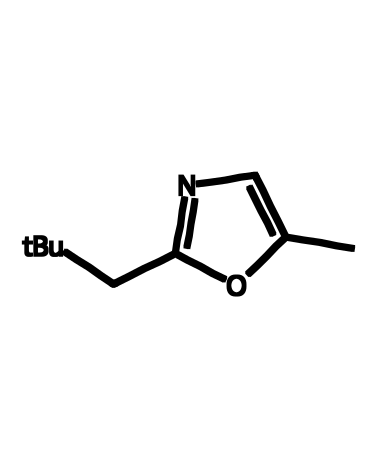 Cc1cnc(CC(C)(C)C)o1